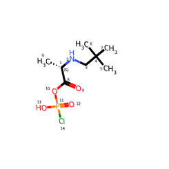 C[C@H](NCC(C)(C)C)C(=O)OP(=O)(O)Cl